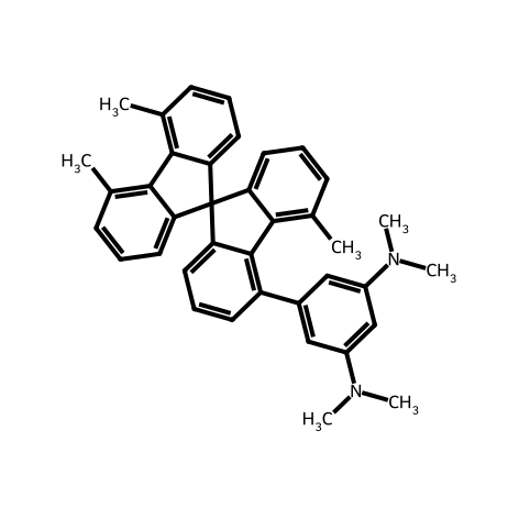 Cc1cccc2c1-c1c(C)cccc1C21c2cccc(C)c2-c2c(-c3cc(N(C)C)cc(N(C)C)c3)cccc21